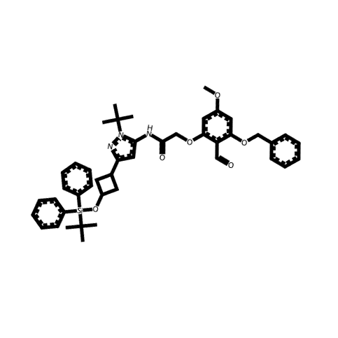 COc1cc(OCC(=O)Nc2cc(C3CC(O[Si](c4ccccc4)(c4ccccc4)C(C)(C)C)C3)nn2C(C)(C)C)c(C=O)c(OCc2ccccc2)c1